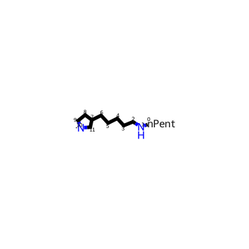 CCCCCNCCCCCC1CC[N]C1